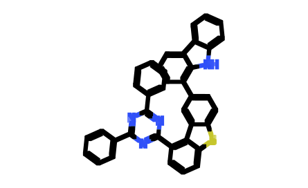 c1ccc(-c2nc(-c3ccccc3)nc(-c3cccc4sc5ccc(-c6cccc7c6[nH]c6ccccc67)cc5c34)n2)cc1